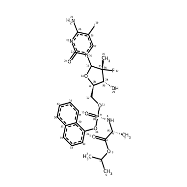 CC(C)OC(=O)[C@@H](C)N[P@](=O)(OC[C@H]1OC(n2cc(I)c(N)nc2=O)[C@](C)(F)[C@@H]1O)Oc1cccc2ccccc12